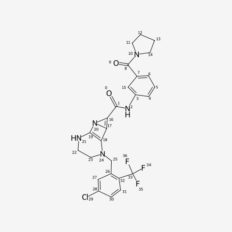 O=C(Nc1cccc(C(=O)N2CCCC2)c1)c1c2c3c(n1-2)NCCN3Cc1cc(Cl)ccc1C(F)(F)F